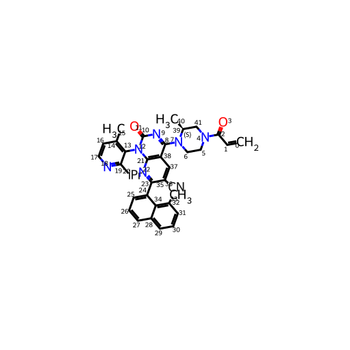 C=CC(=O)N1CCN(c2nc(=O)n(-c3c(C)ccnc3C(C)C)c3nc(-c4cccc5cccc(C)c45)c(C#N)cc23)[C@@H](C)C1